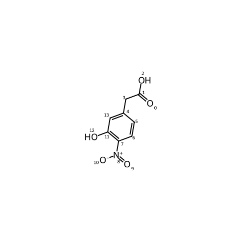 O=C(O)Cc1ccc([N+](=O)[O-])c(O)c1